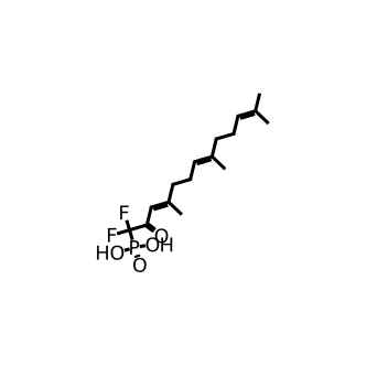 CC(C)=CCC/C(C)=C/CC/C(C)=C/C(=O)C(F)(F)P(=O)(O)O